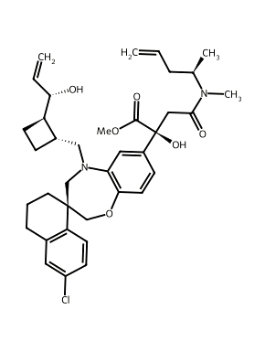 C=CC[C@@H](C)N(C)C(=O)C[C@@](O)(C(=O)OC)c1ccc2c(c1)N(C[C@@H]1CC[C@H]1[C@@H](O)C=C)C[C@@]1(CCCc3cc(Cl)ccc31)CO2